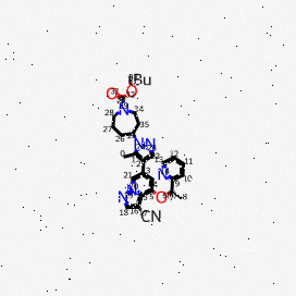 Cc1c(-c2cc(O[C@H](C)c3ccccn3)c3c(C#N)cnn3c2)cnn1C1CCCN(C(=O)OC(C)(C)C)CC1